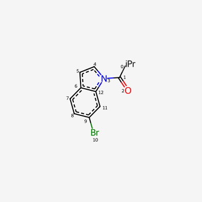 CC(C)C(=O)n1ccc2ccc(Br)cc21